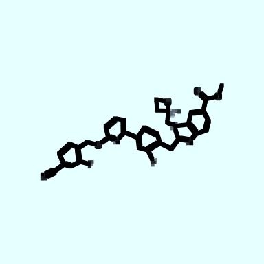 COC(=O)c1ccc2nc(Cc3ccc(-c4cccc(OCc5ccc(C#N)cc5F)n4)cc3F)n(C[C@@]3(C)CCO3)c2c1